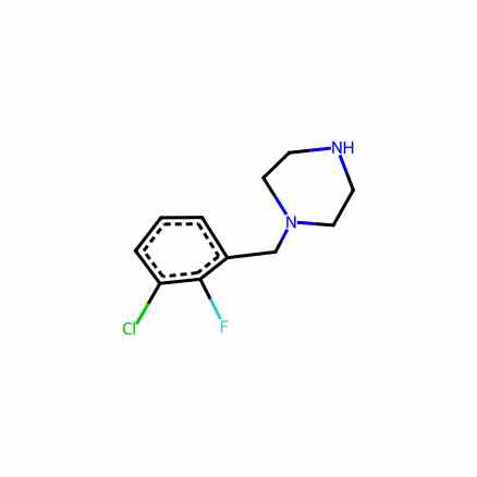 Fc1c(Cl)cccc1CN1CCNCC1